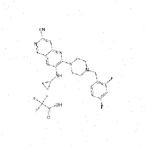 N#Cc1cc2nc(N3CCN(Cc4ccc(F)cc4F)CC3)c(NC3CC3)nc2cn1.O=C(O)C(F)(F)F